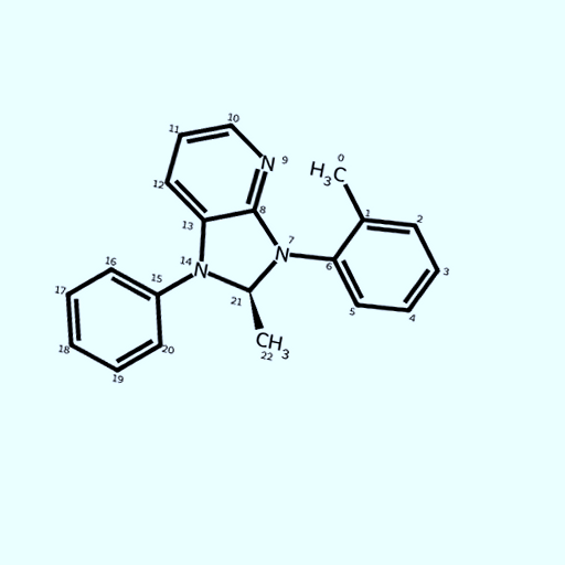 Cc1ccccc1N1c2ncccc2N(c2ccccc2)[C@@H]1C